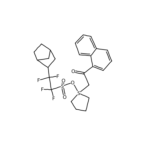 O=C(CS1(OS(=O)(=O)C(F)(F)C(F)(F)C2CC3CCC2C3)CCCC1)c1cccc2ccccc12